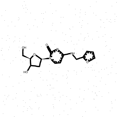 O=c1nc(NCc2ccco2)ccn1[C@H]1CC(O)[C@@H](CO)O1